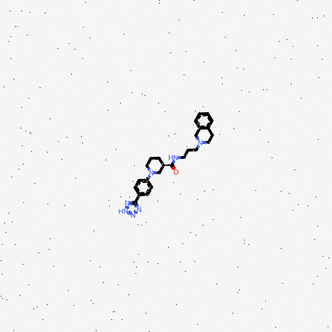 O=C(NCCCN1CCc2ccccc2C1)[C@@H]1CCCN(c2ccc(-c3nn[nH]n3)cc2)C1